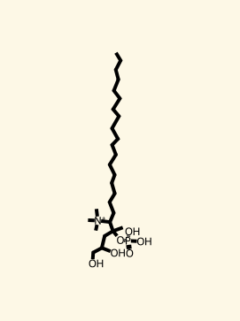 CCCCCCCCCCCCCCCCCCC(C(C)(CC(O)CO)OP(=O)(O)O)[N+](C)(C)C